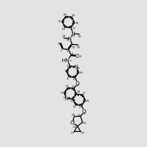 C=C/C(C(=O)Nc1ccc(Oc2ccnc3cc(OC4COC5(CC5)C4)ccc23)cn1)=C(/C)N(C)N(C)c1ccccc1